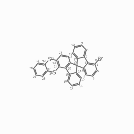 Brc1cccc2c1-c1ccccc1C21c2ccccc2-c2c1ccc1c2Sc2ccccc2S1